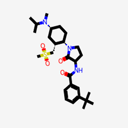 CC(C)N(C)[C@@H]1CC[C@H](N2CCC(NC(=O)c3cccc(C(C)(C)C)c3)C2=O)[C@H](CS(C)(=O)=O)C1